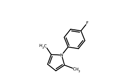 Cc1ccc(C)n1-c1ccc(F)cc1